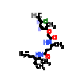 C=C/C=C(\C=C)C(C)NC(=O)CCC(=C)NC(=O)COC(=C)/C=C\C(Cl)=C\C